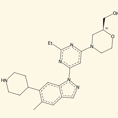 CCc1nc(N2CCO[C@H](CO)C2)cc(-n2ncc3cc(C)c(C4CCNCC4)cc32)n1